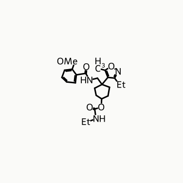 CCNC(=O)OC1CCC(CNC(=O)c2ccccc2OC)(c2c(CC)noc2C)CC1